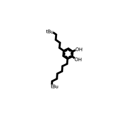 CC(C)(C)CCCCCCc1cc(CCCCC(C)(C)C)cc(O)c1O